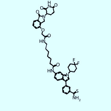 NC(=S)c1cccc(-c2cn(C3CCC(F)(F)CC3)c3cc(NC(=O)CCCCCCNC(=O)COc4cccc5c4CN(C4CCC(=O)NC4=O)C5=O)ccc23)c1